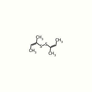 C/C=C(/C)SS/C(C)=C\C